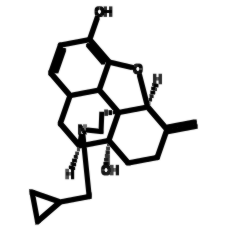 C=C1CC[C@@]2(O)[C@H]3CC4C=CC(O)=C5O[C@@H]1[C@]2(CCN3CC1CC1)C54